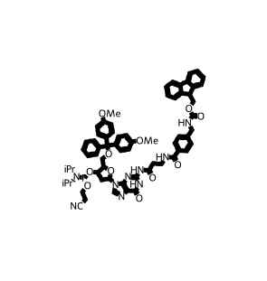 COc1ccc(C(OCC2OC(n3cnc4c(=O)[nH]c(NC(=O)CCNC(=O)c5ccc(CNC(=O)OCC6c7ccccc7-c7ccccc76)cc5)nc43)CC2OP(OCCC#N)N(C(C)C)C(C)C)(c2ccccc2)c2ccc(OC)cc2)cc1